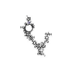 CNC(=O)C1CCN(C(=O)CCCC(=O)N[C@H](C(=O)N[C@@H](CCCNC(N)=O)C(=O)Nc2ccc(COC(=O)NC(C)(C)C(=O)N(C)[C@@H](C)C(=O)OC3[C@@H](C)CCC[C@@]4(C)O[C@H]4C[C@@H](/C(C)=C/c4cnc(C)s4)OC(=O)C[C@H](O)C(C)(C)C(=O)[C@@H]3C)cc2)C(C)C)CC1